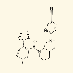 Cc1ccc(-n2nccn2)c(C(=O)N2CCC[C@@H](C)C2CNc2ncc(C#N)cn2)c1